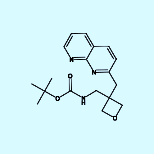 CC(C)(C)OC(=O)NCC1(Cc2ccc3cccnc3n2)COC1